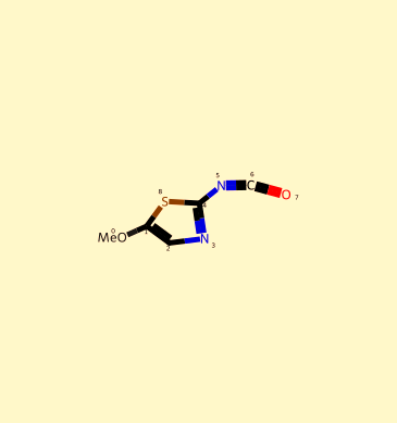 COc1cnc(N=C=O)s1